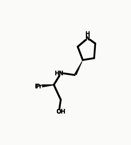 CC(C)[C@H](CO)NC[C@H]1CCNC1